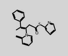 C=C1C=CC=CN1/C(CC(=O)Sc1ccccn1)=C(\C)c1ccccc1